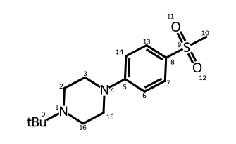 CC(C)(C)N1CCN(c2ccc(S(C)(=O)=O)cc2)CC1